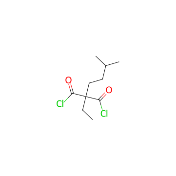 CCC(CCC(C)C)(C(=O)Cl)C(=O)Cl